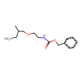 CC(COCCNC(=O)OCc1ccccc1)CC(=O)O